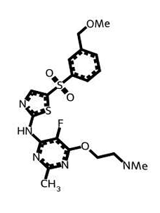 CNCCOc1nc(C)nc(Nc2ncc(S(=O)(=O)c3cccc(COC)c3)s2)c1F